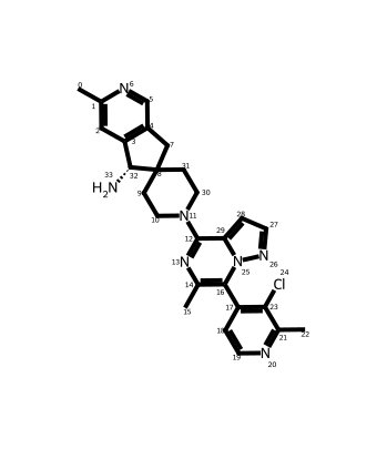 Cc1cc2c(cn1)CC1(CCN(c3nc(C)c(-c4ccnc(C)c4Cl)n4nccc34)CC1)[C@@H]2N